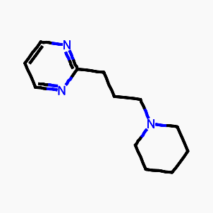 c1cnc(CCCN2CCCCC2)nc1